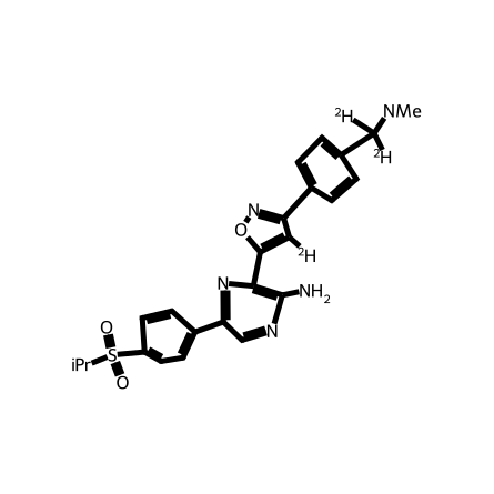 [2H]c1c(-c2ccc(C([2H])([2H])NC)cc2)noc1-c1nc(-c2ccc(S(=O)(=O)C(C)C)cc2)cnc1N